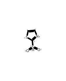 O=[SH](=O)c1nccs1